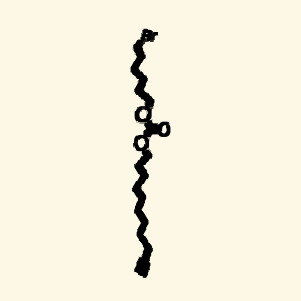 C#CCCCCCCCCCOC(=O)OCCCCCCBr